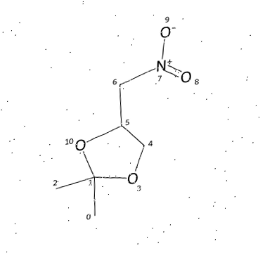 CC1(C)OCC(C[N+](=O)[O-])O1